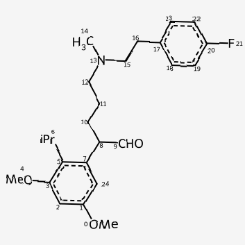 COc1cc(OC)c(C(C)C)c(C(C=O)CCCN(C)CCc2ccc(F)cc2)c1